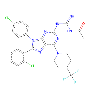 CC(=O)NC(=N)Nc1nc(N2CCC(C(F)(F)F)CC2)c2nc(-c3ccccc3Cl)n(-c3ccc(Cl)cc3)c2n1